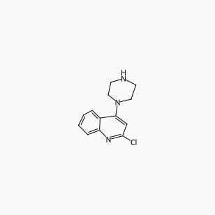 Clc1cc(N2CCNCC2)c2ccccc2n1